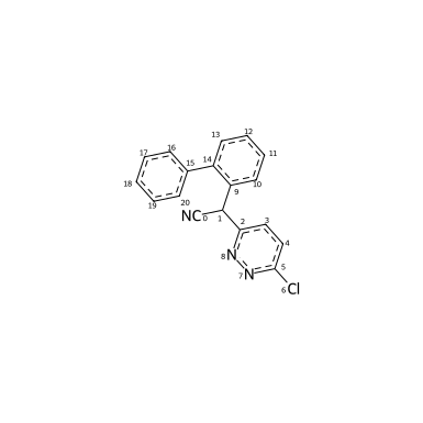 N#CC(c1ccc(Cl)nn1)c1ccccc1-c1ccccc1